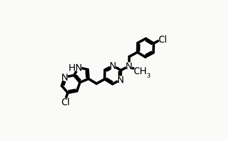 CN(Cc1ccc(Cl)cc1)c1ncc(Cc2c[nH]c3ncc(Cl)cc23)cn1